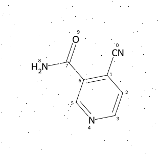 N#Cc1ccncc1C(N)=O